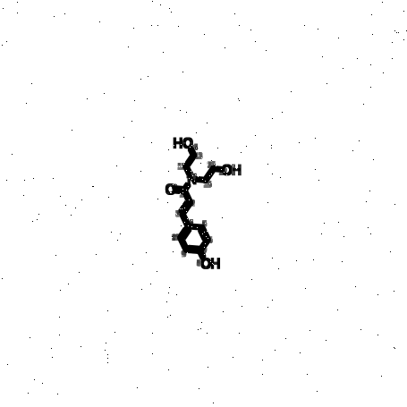 O=C(/C=C/c1ccc(O)cc1)N(CCO)CCO